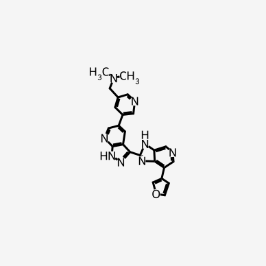 CN(C)Cc1cncc(-c2cnc3[nH]nc(-c4nc5c(-c6ccoc6)cncc5[nH]4)c3c2)c1